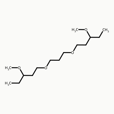 CCC(CCOCCCOCCC(CC)OC)OC